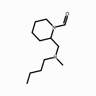 CCCCN(C)CC1CCCCN1C=O